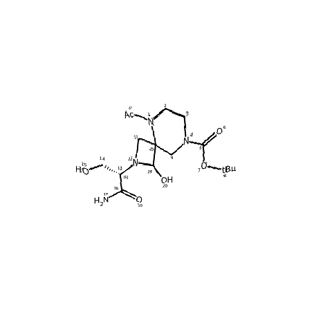 CC(=O)N1CCN(C(=O)OC(C)(C)C)CC12CN([C@@H](CO)C(N)=O)C2O